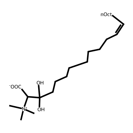 CCCCCCCC/C=C\CCCCCCCCC(O)(O)C(C(=O)[O-])[N+](C)(C)C